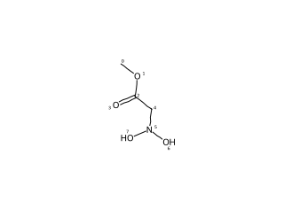 COC(=O)CN(O)O